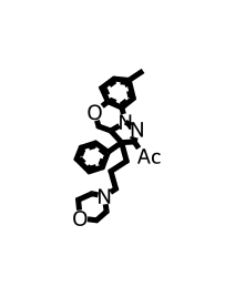 CC(=O)C1=NN2c3cc(C)ccc3OCC2C1(CCCN1CCOCC1)c1ccccc1